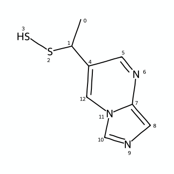 CC(SS)c1cnc2cncn2c1